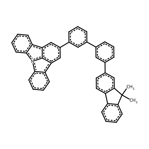 CC1(C)c2ccccc2-c2ccc(-c3cccc(-c4cccc(-c5cc6c7ccccc7n7c8ccccc8c(c5)c67)c4)c3)cc21